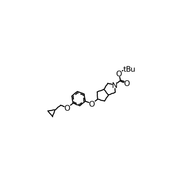 CC(C)(C)OC(=O)N1CC2CC(Oc3cccc(OCC4CC4)c3)CC2C1